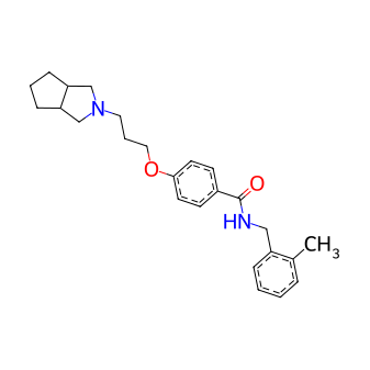 Cc1ccccc1CNC(=O)c1ccc(OCCCN2CC3CCCC3C2)cc1